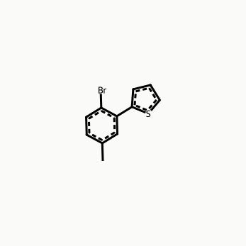 Cc1ccc(Br)c(-c2cccs2)c1